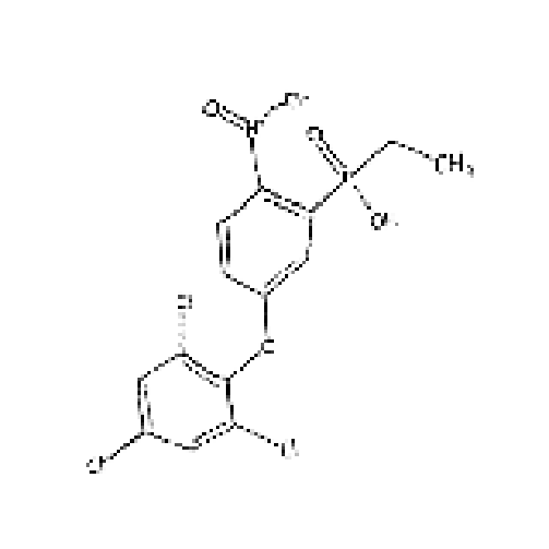 CCP(=O)(O)c1cc(Oc2c(Cl)cc(Cl)cc2Cl)ccc1[N+](=O)[O-]